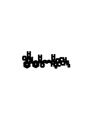 CC(C)(C)OC(=O)NCCC=CC(=O)Nc1cccc(-c2n[nH]c(=O)c3ccccc23)c1